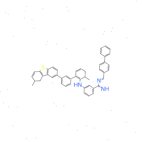 CC1C=Cc2sc3ccc(-c4cccc(C5=C(Nc6cccc(C(=N)/N=C/c7ccc(-c8ccccc8)cc7)c6)C(C)CC=C5)c4)cc3c2C1